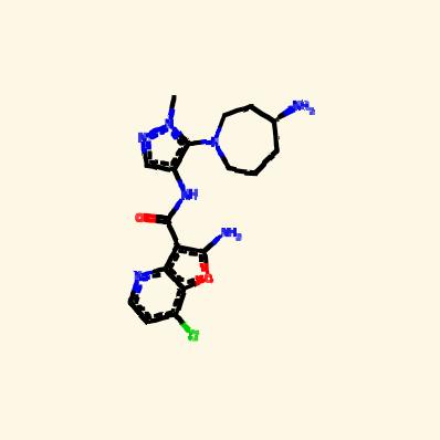 Cn1ncc(NC(=O)c2c(N)oc3c(Cl)ccnc23)c1N1CCC[C@H](N)CC1